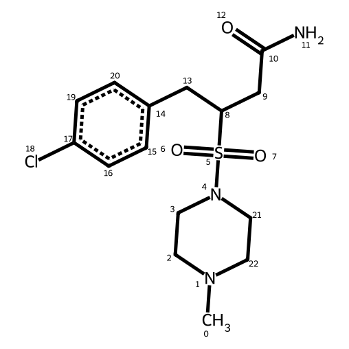 CN1CCN(S(=O)(=O)C(CC(N)=O)Cc2ccc(Cl)cc2)CC1